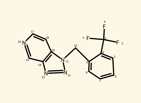 FC(F)(F)c1ccccc1Cn1nnc2cnccc21